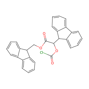 O=C(Cl)OC(C(=O)OCC1c2ccccc2-c2ccccc21)C1c2ccccc2-c2ccccc21